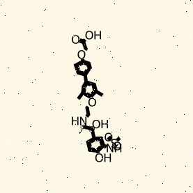 Cc1cc(-c2ccc(OCC(=O)O)cc2)cc(C)c1OCCN[C@@H](C)[C@H](O)c1ccc(O)c(NS(C)(=O)=O)c1